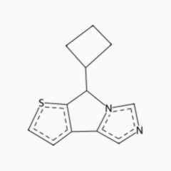 c1cc2c(s1)C(C1CCC1)n1cncc1-2